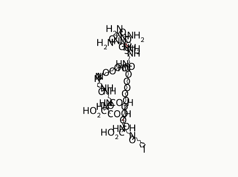 NC(=O)CN1CCN(CC(N)=O)CN(CC(N)=O)C(Cc2ccc(NC(=S)NCCCCC(NC(=O)CCOCCOCCOCCn3cc(-c4cccc(NC(=O)NCCCCC(NC(=O)NC(CCC(=O)O)C(=O)O)C(=O)O)c4)nn3)C(=O)NCCOCCOCCOCCOCCOCCOCCOCCOCCC(=O)NC(CCCCNC(=O)CCCc3ccc(I)cc3)C(=O)O)cc2)N(CC(N)=O)CC1